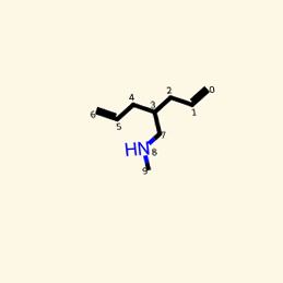 C=CCC(CC=C)CNC